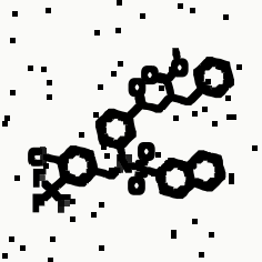 COC(=O)C(CC(=O)c1cccc(N(Cc2ccc(Cl)c(C(F)(F)F)c2)S(=O)(=O)c2ccc3ccccc3c2)c1)Cc1ccccc1